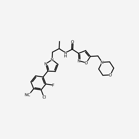 CC(Cn1ccc(-c2ccc(C#N)c(Cl)c2F)n1)NC(=O)c1cc(CN2CCOCC2)on1